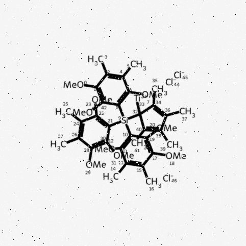 COc1c(C)c(C)c(OC)c([Si](c2c(OC)c(C)c(C)c(OC)c2OC)(c2c(OC)c(C)c(C)c(OC)c2OC)[C]2([Ti+3])C(C)=C(C)C(C)=C2C)c1OC.[Cl-].[Cl-].[Cl-]